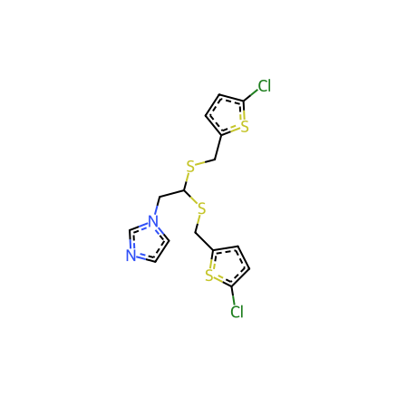 Clc1ccc(CSC(Cn2ccnc2)SCc2ccc(Cl)s2)s1